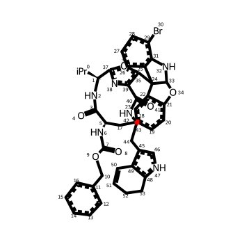 CC(C)[C@@H]1NC(=O)[C@@H](NC(=O)OCc2ccccc2)Cc2ccc3c(c2)C2(c4cccc(Br)c4NC2O3)c2oc1nc2C(=O)NCCc1c[nH]c2c1C=CCC2